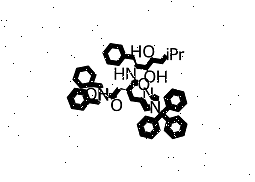 CC(C)C[C@H](O)[C@H](O)[C@H](CC1CCCCC1)NC(=O)[C@@H](CC(=O)N(Cc1ccccc1)CC1(O)CCCCC1)Cc1cn(C(c2ccccc2)(c2ccccc2)c2ccccc2)cn1